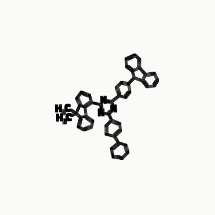 CC1(C)c2ccccc2-c2c(-c3nc(-c4ccc(-c5ccccc5)cc4)nc(-c4ccc(C5c6ccccc6-c6ccccc65)cc4)n3)cccc21